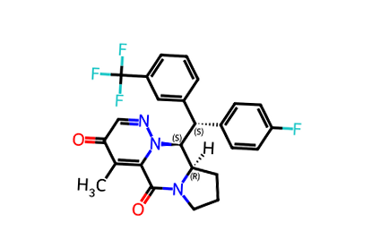 Cc1c2n(ncc1=O)[C@@H]([C@@H](c1ccc(F)cc1)c1cccc(C(F)(F)F)c1)[C@H]1CCCN1C2=O